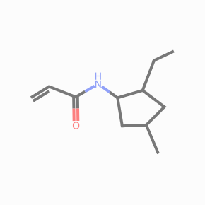 C=CC(=O)NC1CC(C)CC1CC